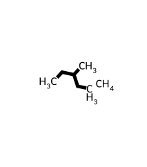 C.CCC(C)CC